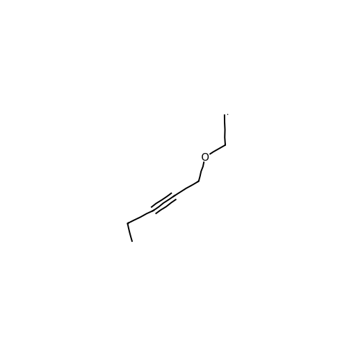 [CH2]COCC#CCC